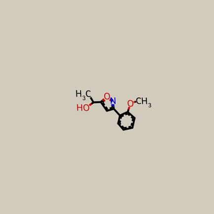 COc1ccccc1-c1cc(C(C)O)on1